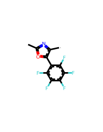 [CH2]c1nc(C)oc1-c1c(F)c(F)c(F)c(F)c1F